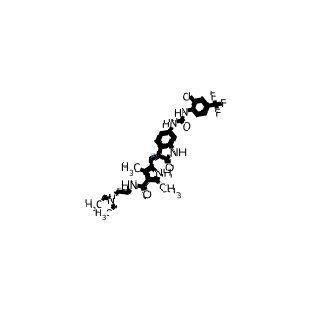 CCN(CC)CCNC(=O)c1c(C)[nH]c(/C=C2\C(=O)Nc3cc(NC(=O)Nc4ccc(C(F)(F)F)cc4Cl)ccc32)c1C